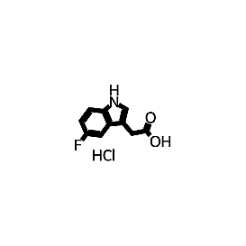 Cl.O=C(O)Cc1c[nH]c2ccc(F)cc12